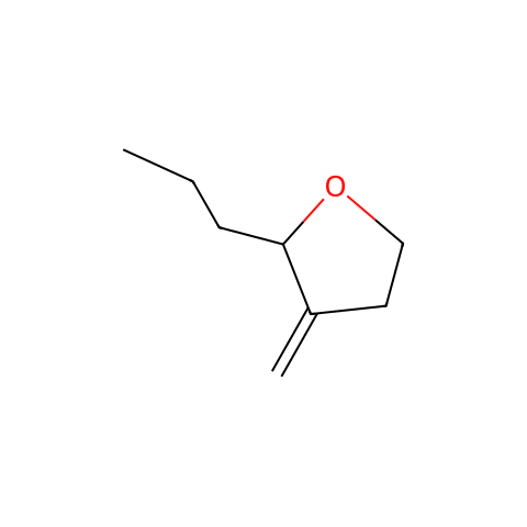 C=C1CCOC1CCC